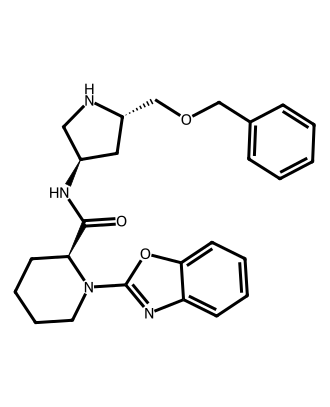 O=C(N[C@H]1CN[C@H](COCc2ccccc2)C1)[C@@H]1CCCCN1c1nc2ccccc2o1